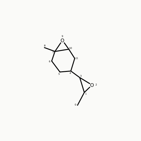 CC1OC1C1CCC2(C)OC2C1